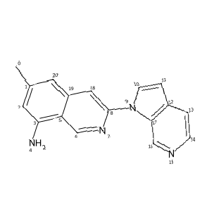 Cc1cc(N)c2cnc(-n3ccc4ccncc43)cc2c1